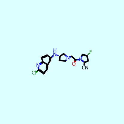 N#CC1C[C@H](F)CN1C(=O)CN1CC[C@@H](Nc2ccc3nc(Cl)ccc3c2)C1